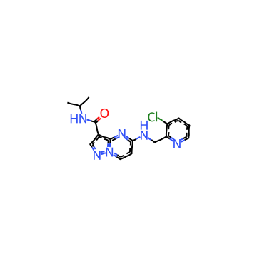 CC(C)NC(=O)c1cnn2ccc(NCc3ncccc3Cl)nc12